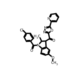 COc1ccc2c(c1)C(C(=O)c1nnc(-c3ccccn3)o1)C(C)N2C(=O)c1ccc(Cl)cc1